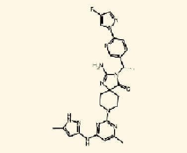 Cc1cc(Nc2cc(C)[nH]n2)nc(N2CCC3(CC2)N=C(N)N([C@@H](C)c2ccc(-n4cc(F)cn4)nc2)C3=O)n1